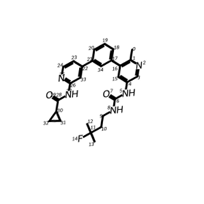 Cc1ncc(NC(=O)NCCC(C)(C)F)cc1-c1cccc(-c2ccnc(NC(=O)C3CC3)c2)c1